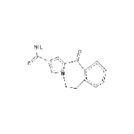 NC(=O)c1cc2n(c1)CCc1ccccc1C2=O